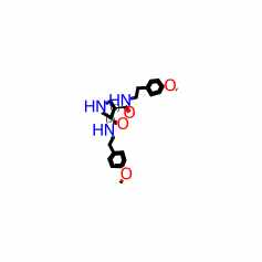 COc1ccc(CCNC(=O)[C@@H]2CNC[C@H]2C(=O)NCCc2ccc(OC)cc2)cc1